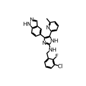 Cc1cccc(-c2[nH]c(NCc3cccc(Cl)c3F)nc2-c2ccc3[nH]ncc3c2)n1